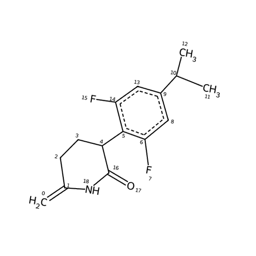 C=C1CCC(c2c(F)cc(C(C)C)cc2F)C(=O)N1